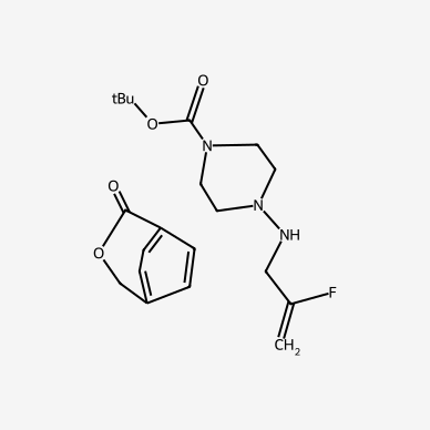 C=C(F)CNN1CCN(C(=O)OC(C)(C)C)CC1.O=C1OCc2ccc1cc2